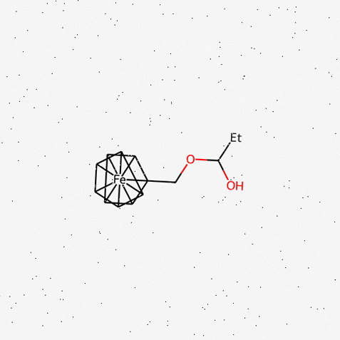 CCC(O)OC[C]12[CH]3[CH]4[CH]5[CH]1[Fe]45321678[CH]2[CH]1[CH]6[CH]7[CH]28